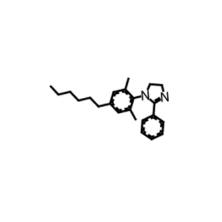 CCCCCCc1cc(C)c(N2CCN=C2c2ccccc2)c(C)c1